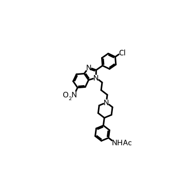 CC(=O)Nc1cccc(C2CCN(CCCn3c(-c4ccc(Cl)cc4)nc4ccc([N+](=O)[O-])cc43)CC2)c1